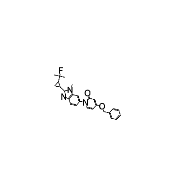 Cn1c(C2CC2C(C)(C)F)nc2ccc(-n3ccc(OCc4ccccc4)cc3=O)cc21